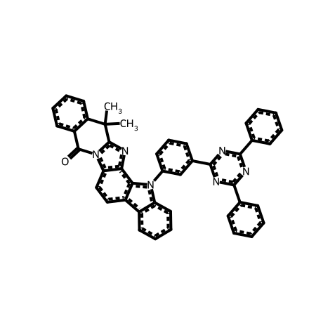 CC1(C)c2ccccc2C(=O)n2c1nc1c2ccc2c3ccccc3n(-c3cccc(-c4nc(-c5ccccc5)nc(-c5ccccc5)n4)c3)c21